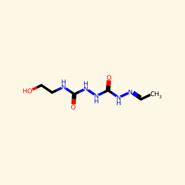 CC=NNC(=O)NNC(=O)NCCO